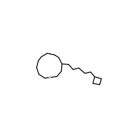 C1CCCCCC(CCCCCC2CCC2)CCCCC1